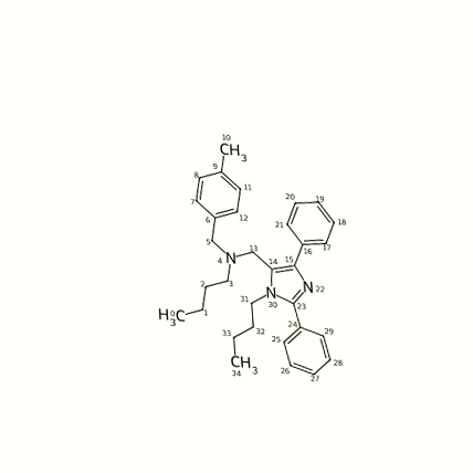 CCCCN(Cc1ccc(C)cc1)Cc1c(-c2ccccc2)nc(-c2ccccc2)n1CCCC